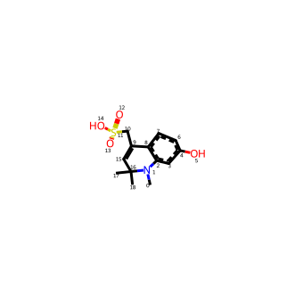 CN1c2cc(O)ccc2C(CS(=O)(=O)O)=CC1(C)C